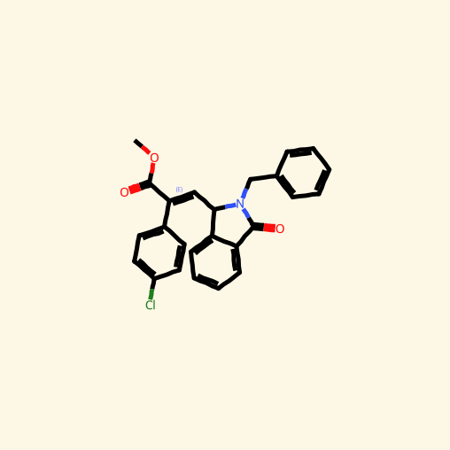 COC(=O)/C(=C/C1c2ccccc2C(=O)N1Cc1ccccc1)c1ccc(Cl)cc1